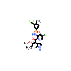 C=C/C(OC)=C(/C(=O)c1ncc(Cl)cc1NS(=O)(=O)c1ccc(C)c(C(F)(F)F)c1)c1cc[nH]c1C